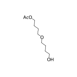 CC(=O)OCCCCOCCCCO